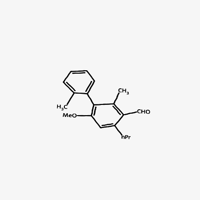 CCCc1cc(OC)c(-c2ccccc2C)c(C)c1C=O